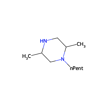 CCCCCN1CC(C)NCC1C